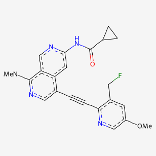 CNc1ncc(C#Cc2ncc(OC)cc2CF)c2cc(NC(=O)C3CC3)ncc12